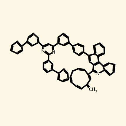 C=C1/C=C\C=C/C/C=C\C(c2nc3ccccc3c3c2cc(-c2ccc(-c4cccc(-c5cc(-c6cccc(-c7ccccc7)c6)nc(-c6cccc(-c7ccccc7)c6)n5)c4)cc2)c2ccccc23)=C/1